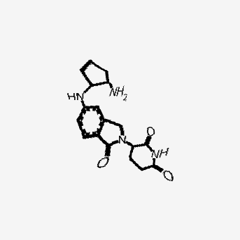 NC1CCCC1Nc1ccc2c(c1)CN(C1CCC(=O)NC1=O)C2=O